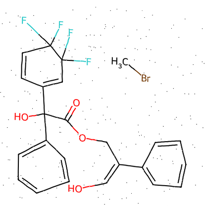 CBr.O=C(OCC(=CO)c1ccccc1)C(O)(C1=CC(F)(F)C(F)(F)C=C1)c1ccccc1